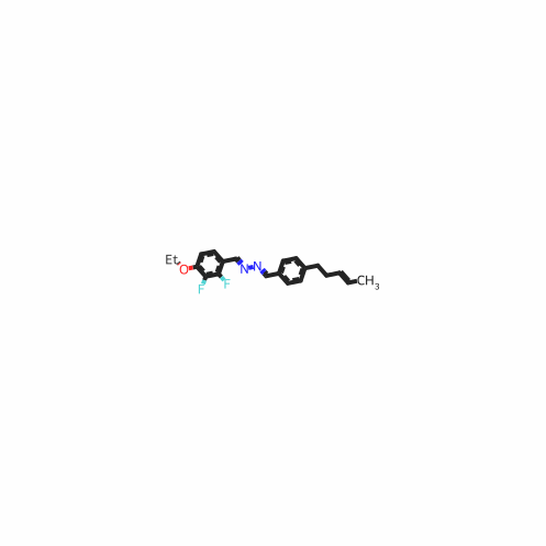 C/C=C/CCc1ccc(C=NN=Cc2ccc(OCC)c(F)c2F)cc1